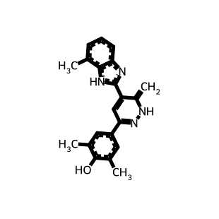 C=C1NN=C(c2cc(C)c(O)c(C)c2)C=C1c1nc2cccc(C)c2[nH]1